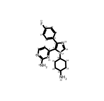 Nc1nccc(-c2c(-c3ccc(F)cc3)ncn2C2CCC(N)CC2)n1